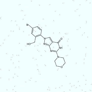 O=c1[nH]c(N2CCOCC2)nc2nn(-c3ccc(Br)cc3CO)cc12